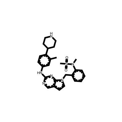 Cc1cc(Nc2ncc3ccn(Cc4ccccc4N(C)S(C)(=O)=O)c3n2)ccc1C1CCNCC1